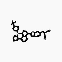 CC(C)(C)c1ccc(N2c3ccccc3-c3cccc4c(-c5cc6ccc(C=C(C#N)C#N)cc6o5)ccc2c34)cc1